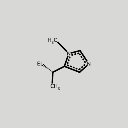 CC[C@@H](C)c1cncn1C